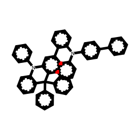 c1ccc(-c2ccc(N(c3ccccc3)c3ccccc3-c3ccc4c(c3)N(c3ccccc3)c3ccccc3C4(c3ccccc3)c3ccccc3)cc2)cc1